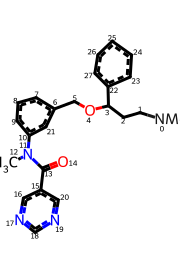 CNCCC(OCc1cccc(N(C)C(=O)c2cncnc2)c1)c1ccccc1